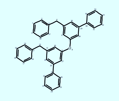 c1ccc(Cc2cc(Oc3cc(Cc4ccccc4)cc(-c4ccccc4)c3)cc(-c3ccccc3)c2)cc1